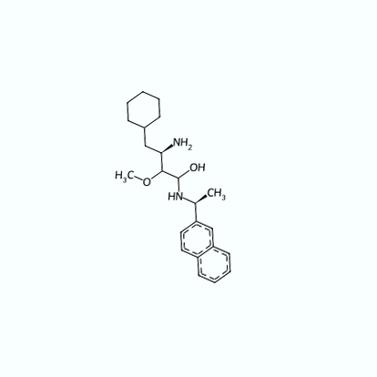 COC(C(O)N[C@@H](C)c1ccc2ccccc2c1)[C@H](N)CC1CCCCC1